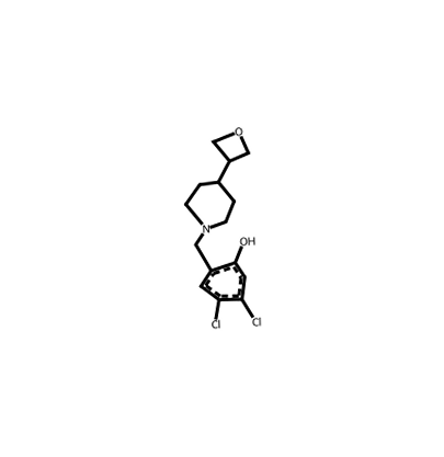 Oc1cc(Cl)c(Cl)cc1CN1CCC(C2COC2)CC1